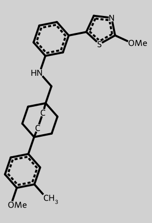 COc1ncc(-c2cccc(NCC34CCC(c5ccc(OC)c(C)c5)(CC3)CC4)c2)s1